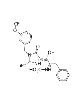 CC(C)C1N[C@@H]([C@H](O)[C@H](Cc2ccccc2)NC(=O)O)C(=O)N1Cc1cccc(OC(F)(F)F)c1